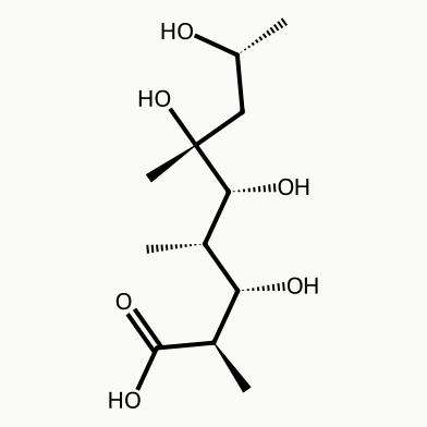 C[C@@H]([C@H](O)[C@@H](C)C(=O)O)[C@@H](O)[C@](C)(O)C[C@@H](C)O